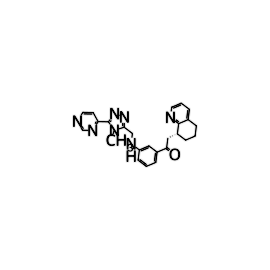 Cn1c(CNc2cccc(C(=O)C[C@H]3CCCc4cccnc43)c2)nnc1-c1ccncn1